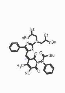 CCCCC(CC)CN(CC(CC)CCCC)c1nc(-c2ccccc2)c(/C=C2\C(=O)N(N(C(=O)C(C)(C)C)c3ccccc3)C(=O)C(C#N)=C2C)s1